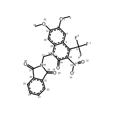 COc1cc2c(C(F)(F)F)c([N+](=O)[O-])c(=O)n(CN3C(=O)c4ccccc4C3=O)c2cc1OC